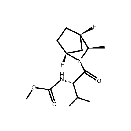 COC(=O)N[C@H](C(=O)N1[C@@H]2CC[C@@H](C2)[C@H]1C)C(C)C